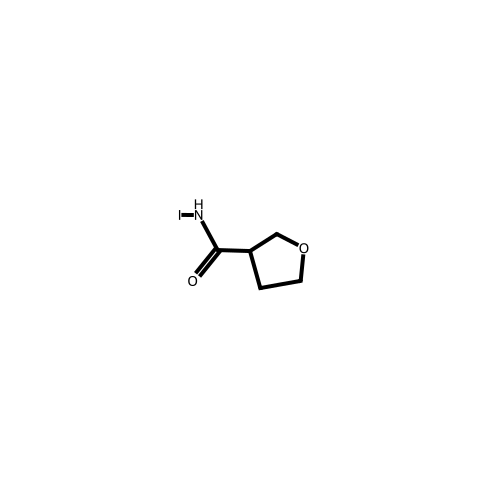 O=C(NI)C1CCOC1